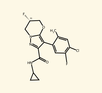 Cc1cc(Cl)c(F)cc1-c1c(C(=O)NC2CC2)nn2c1OC[C@@H](F)C2